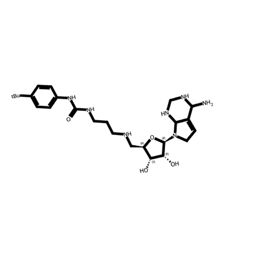 CC(C)(C)c1ccc(NC(=O)NCCCNC[C@H]2O[C@@H](N3CC=C4C(N)NCNC43)[C@H](O)[C@@H]2O)cc1